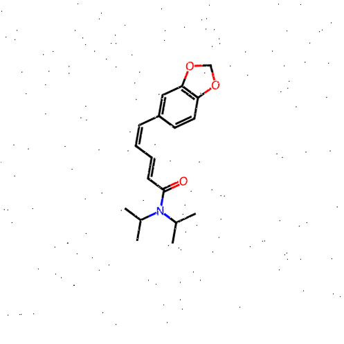 CC(C)N(C(=O)/C=C/C=C\c1ccc2c(c1)OCO2)C(C)C